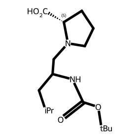 CC(C)CC(CN1CCC[C@H]1C(=O)O)NC(=O)OC(C)(C)C